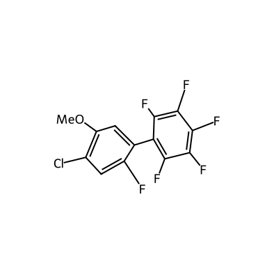 COc1cc(-c2c(F)c(F)c(F)c(F)c2F)c(F)cc1Cl